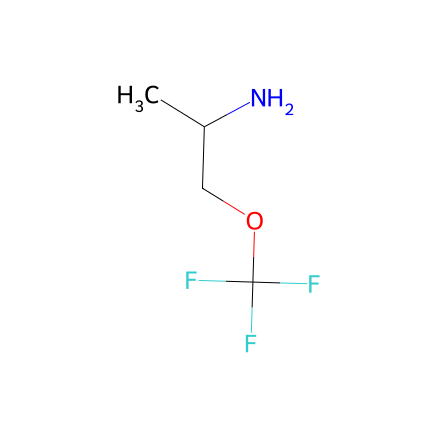 CC(N)COC(F)(F)F